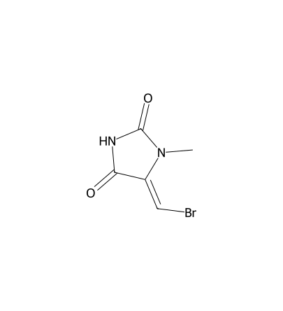 CN1C(=O)NC(=O)/C1=C/Br